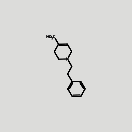 O=C(O)C1=CCN(CCc2ccccc2)CC1